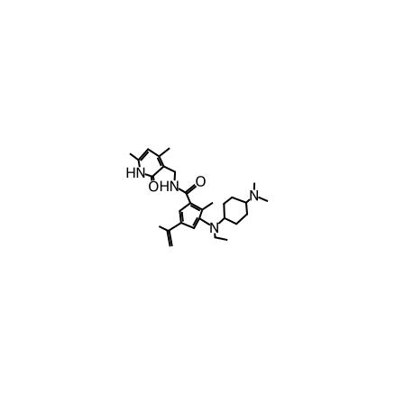 C=C(C)c1cc(C(=O)NCc2c(C)cc(C)[nH]c2=O)c(C)c(N(CC)C2CCC(N(C)C)CC2)c1